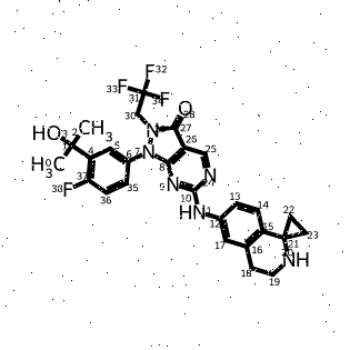 CC(C)(O)c1cc(-n2c3nc(Nc4ccc5c(c4)CCNC54CC4)ncc3c(=O)n2CC(F)(F)F)ccc1F